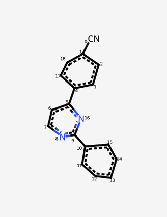 N#Cc1ccc(-c2ccnc(-c3ccccc3)n2)cc1